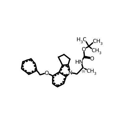 C[C@@H](Cn1c2c(c3c(OCc4ccccc4)cccc31)CCC2)NC(=O)OC(C)(C)C